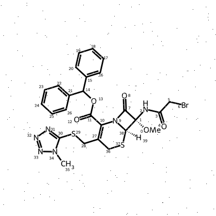 CO[C@@]1(NC(=O)CBr)C(=O)N2C(C(=O)OC(c3ccccc3)c3ccccc3)=C(CSc3nnnn3C)CS[C@@H]21